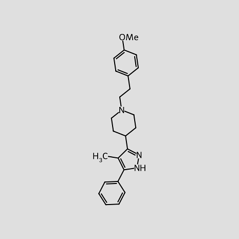 COc1ccc(CCN2CCC(c3n[nH]c(-c4ccccc4)c3C)CC2)cc1